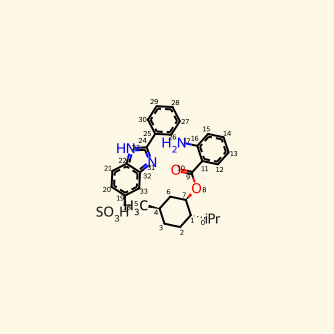 CC(C)[C@@H]1CC[C@@H](C)C[C@H]1OC(=O)c1ccccc1N.O=S(=O)(O)c1ccc2[nH]c(-c3ccccc3)nc2c1